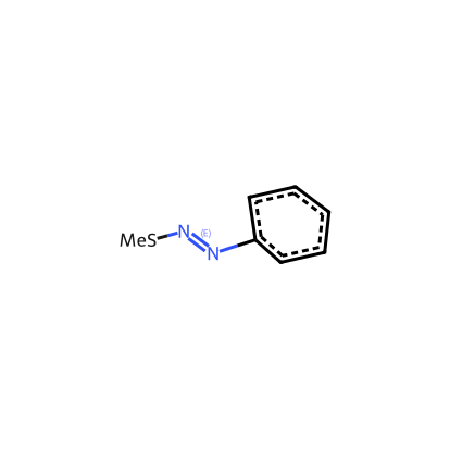 CS/N=N/c1ccccc1